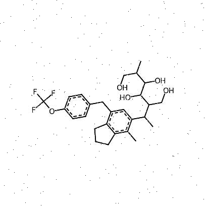 Cc1c(C(C)C(CO)C(O)C(O)C(C)CO)cc(Cc2ccc(OC(F)(F)F)cc2)c2c1CCC2